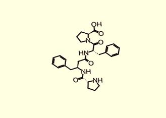 O=C(C[C@H](Cc1ccccc1)NC(=O)[C@H]1CCCN1)N[C@@H](Cc1ccccc1)C(=O)N1CCC[C@H]1C(=O)O